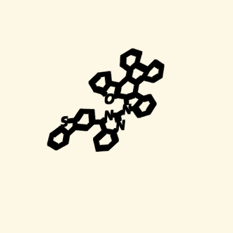 c1ccc2c(-c3ccc4sc5ccccc5c4c3)nc(-n3c4ccccc4c4c5c6ccccc6c6ccccc6c5c5c6ccccc6oc5c43)nc2c1